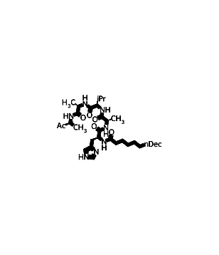 CCCCCCCCCCCCCCCC(=O)N[C@@H](Cc1c[nH]cn1)C(=O)N[C@@H](C)C(=O)N[C@H](C(=O)N[C@@H](C)C(=O)N[C@@H](C)C(C)=O)C(C)C